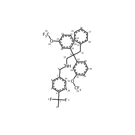 CC(F)(F)c1ccc(CNCC(Cc2ccccc2)(c2cccc(OC(F)(F)F)c2)c2cccc(OC(F)(F)F)c2)cn1